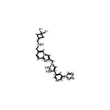 FC1(F)CC(CNCc2ccc3nc(CN4C=C(c5cncc(-n6cnnn6)c5)NN4)cn3c2)C1